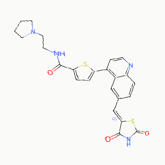 O=C1NC(=O)/C(=C/c2ccc3nccc(-c4ccc(C(=O)NCCN5CCCC5)s4)c3c2)S1